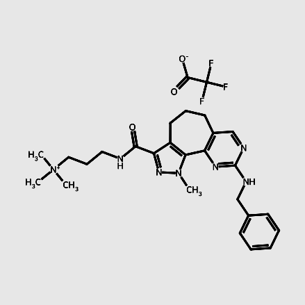 Cn1nc(C(=O)NCCC[N+](C)(C)C)c2c1-c1nc(NCc3ccccc3)ncc1CCC2.O=C([O-])C(F)(F)F